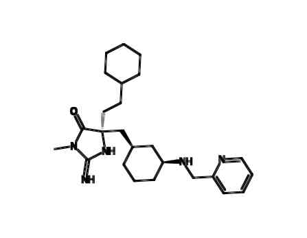 CN1C(=N)N[C@](CCC2CCCCC2)(C[C@@H]2CCC[C@H](NCc3ccccn3)C2)C1=O